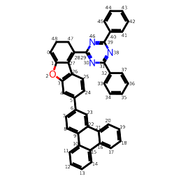 C1=c2oc3cc(-c4ccc5c6ccccc6c6ccccc6c5c4)ccc3c2=C(c2nc(-c3ccccc3)nc(-c3ccccc3)n2)CC1